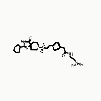 CC(C)N(CCNC(=O)Cc1ccc(C=CS(=O)(=O)N2CCC3(CC2)N=C(C2CCCCC2)NC3=O)cc1)C(C)C